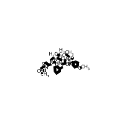 COc1ccc(S(=O)(=O)N(CC(C)C)C[C@@H](O)[C@H](Cc2ccccc2)NC(=O)[C@H](C(C)C)N2CCN(Cc3csc(CS(C)(=O)=O)n3)C2=O)cc1